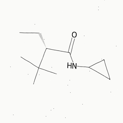 CC[C@H](C(=O)NC1CC1)C(C)(C)C